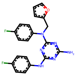 Nc1nc(Nc2ccc(F)cc2)nc(N(Cc2ccco2)c2ccc(F)cc2)n1